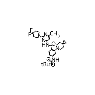 Cc1cc(NC(=O)c2ccc(NS(=O)(=O)C(C)(C)C)cc2N2CCC3(CC2)CC3)nc(N2CCC(F)(F)CC2)n1